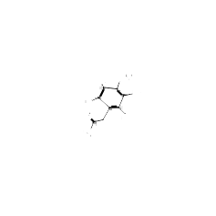 CSc1c(F)c(F)c(CC(N)=O)c(F)c1F